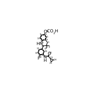 CC1(C)Cc2cc(OC(=O)O)ccc2NC1c1ccc(F)c(NC(=O)C2CC2)c1